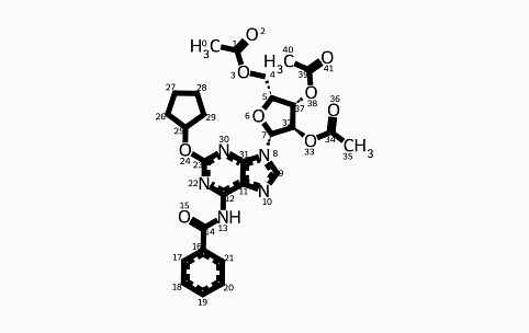 CC(=O)OC[C@H]1O[C@@H](n2cnc3c(NC(=O)c4ccccc4)nc(OC4CCCC4)nc32)[C@H](OC(C)=O)[C@H]1OC(C)=O